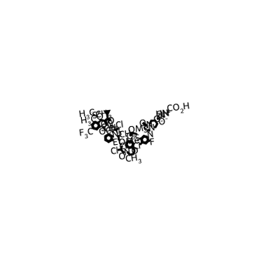 CC1COc2ccccc2N1C(=O)C(Cl)Cl.CCc1cccc(C)c1N(C(=O)CCl)C(C)COC.COC(=O)CSc1cc(/N=c2\sc(=O)n3n2CCCC3)c(F)cc1Cl.CS(=O)(=O)c1cc(C(F)(F)F)ccc1C(=O)c1cnoc1C1CC1.C[S+](C)C.O=C(O)CNCP(=O)([O-])O